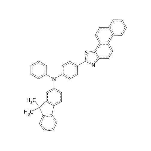 CC1(C)c2ccccc2-c2ccc(N(c3ccccc3)c3ccc(-c4nc5ccc6c7ccccc7ccc6c5s4)cc3)cc21